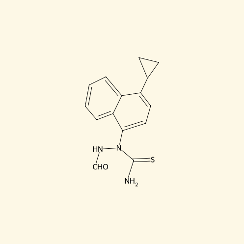 NC(=S)N(NC=O)c1ccc(C2CC2)c2ccccc12